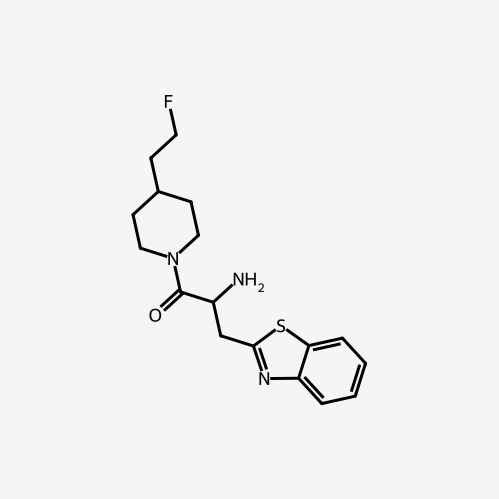 NC(Cc1nc2ccccc2s1)C(=O)N1CCC(CCF)CC1